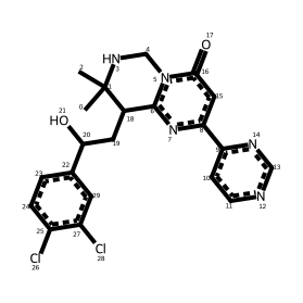 CC1(C)NCn2c(nc(-c3ccncn3)cc2=O)C1CC(O)c1ccc(Cl)c(Cl)c1